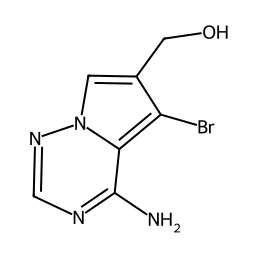 Nc1ncnn2cc(CO)c(Br)c12